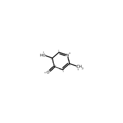 CC1=CC(=O)C(O)C=N1